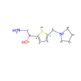 NCC(O)c1ccc(CN2CCCC2)s1